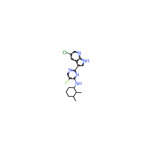 CC1CCCC(Nc2nc(-c3c[nH]c4ncc(Cl)cc34)ncc2F)C1C